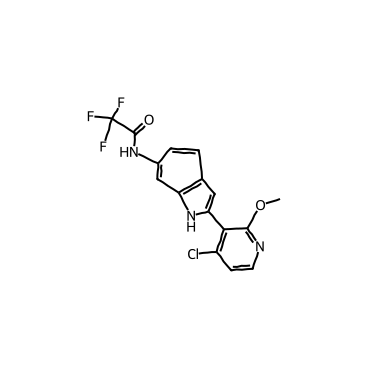 COc1nccc(Cl)c1-c1cc2ccc(NC(=O)C(F)(F)F)cc2[nH]1